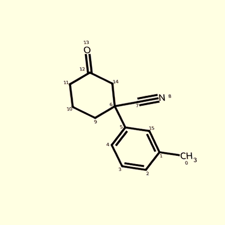 Cc1cccc(C2(C#N)CCCC(=O)C2)c1